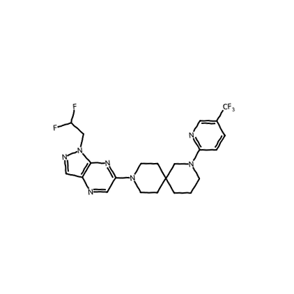 FC(F)Cn1ncc2ncc(N3CCC4(CCCN(c5ccc(C(F)(F)F)cn5)C4)CC3)nc21